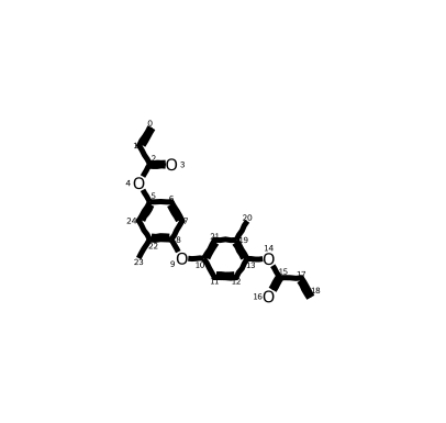 C=CC(=O)Oc1ccc(Oc2ccc(OC(=O)C=C)c(C)c2)c(C)c1